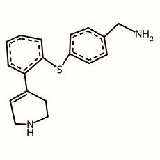 NCc1ccc(Sc2ccccc2C2=CCNCC2)cc1